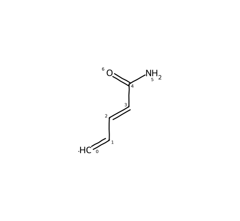 [CH]=C/C=C/C(N)=O